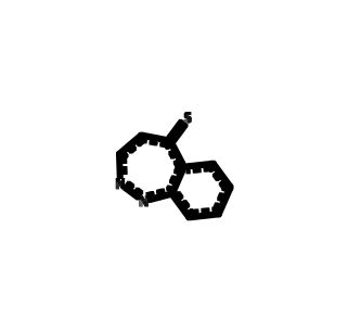 S=c1ccnnc2ccccc12